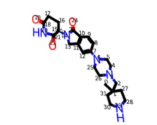 CC1(CN2CCN(c3ccc4c(c3)CN([C@@H]3CCC(=O)NC3=O)C4=O)CC2)CCNCC1